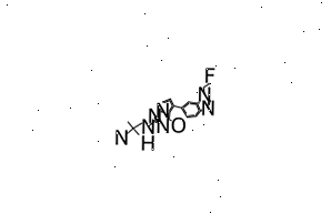 COc1nc(NCC(C)(C)C#N)nn2ccc(-c3ccc4ncn(CCF)c4c3)c12